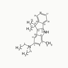 CCN(CC)c1cc(C)c2c(c1)C1C(N2)c2ccccc2C1(C)C